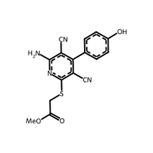 COC(=O)CSc1nc(N)c(C#N)c(-c2ccc(O)cc2)c1C#N